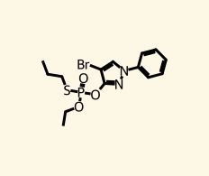 CCCSP(=O)(OCC)Oc1nn(-c2ccccc2)cc1Br